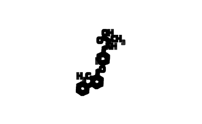 Cc1c(COc2ccc(CN[C@@H](C)C(=O)O)cn2)cccc1-c1ccccc1